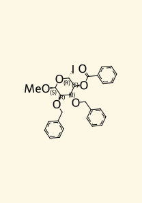 CO[C@H]1O[C@H](I)[C@@H](OC(=O)c2ccccc2)[C@H](OCc2ccccc2)[C@H]1OCc1ccccc1